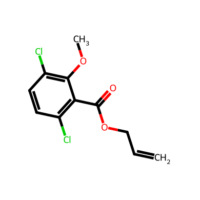 C=CCOC(=O)c1c(Cl)ccc(Cl)c1OC